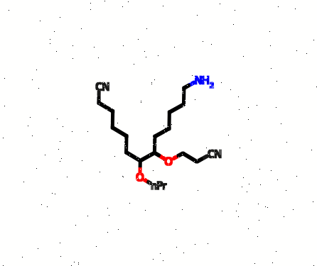 CCCOC(CCCCCC#N)C(CCCCCN)OCCC#N